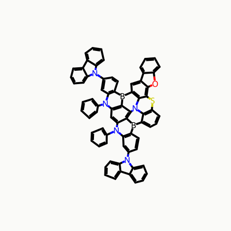 c1ccc(N2c3cc(-n4c5ccccc5c5ccccc54)ccc3B3c4cccc5c4N4c6c3c2cc2c6B(c3ccc(-n6c7ccccc7c7ccccc76)cc3N2c2ccccc2)c2cc3c(oc6ccccc63)c(c24)S5)cc1